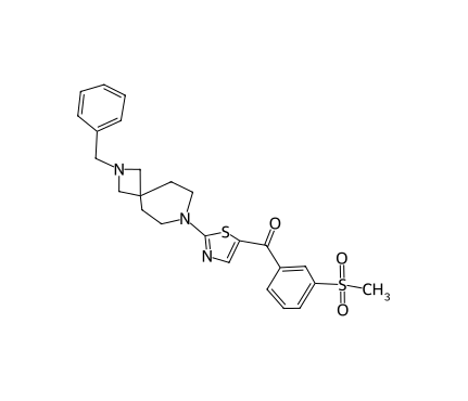 CS(=O)(=O)c1cccc(C(=O)c2cnc(N3CCC4(CC3)CN(Cc3ccccc3)C4)s2)c1